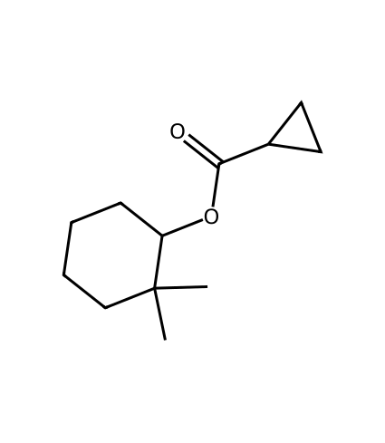 CC1(C)CCCCC1OC(=O)C1CC1